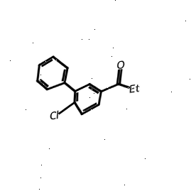 CCC(=O)c1ccc(Cl)c(-c2ccccc2)c1